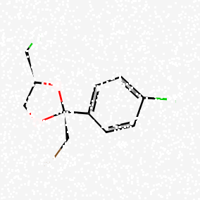 ClC[C@@H]1CO[C@@](CBr)(c2ccc(Cl)cc2)O1